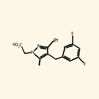 Cc1c(Cc2cc(F)cc(F)c2)c(C(C)C)nn1CC(=O)O